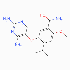 COc1cc(C(C)C)c(Oc2cnc(N)nc2N)cc1C(N)O